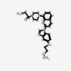 COCCOc1ccc2c(c1)ncn2-c1ccc2cccc(N3CCN(C(=O)CN)CC3)c2n1